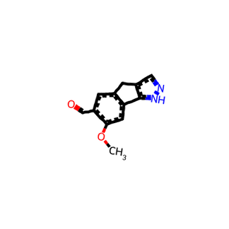 COc1cc2c(cc1C=O)Cc1cn[nH]c1-2